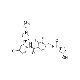 O=C(Nc1ccc(Cl)cc1N1CCN(CCC(F)(F)F)CC1)c1ccc(CNC(=O)N2CCC(O)C2)c(F)c1F